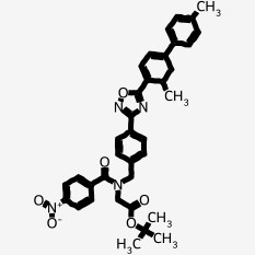 Cc1ccc(C2=CC=C(c3nc(-c4ccc(CN(CC(=O)OC(C)(C)C)C(=O)c5ccc([N+](=O)[O-])cc5)cc4)no3)C(C)C2)cc1